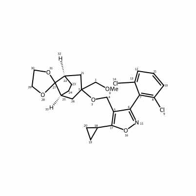 COCC1(OCc2c(-c3c(Cl)cccc3Cl)noc2C2CC2)C[C@H]2CC[C@@H](C1)C21OCCO1